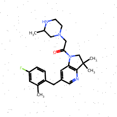 Cc1cc(F)ccc1Cc1cnc2c(c1)N(C(=O)CN1CCNC(C)C1)CC2(C)C